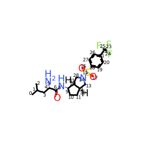 CC(C)C[C@H](N)C(=O)N[C@H]1CC[C@@H]2CN(S(=O)(=O)c3ccc(C(F)(F)F)cc3)C[C@@H]21